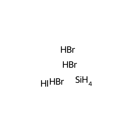 Br.Br.Br.I.[SiH4]